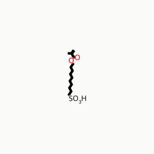 C=C(C)C(=O)OCCCCCCCCCCS(=O)(=O)O